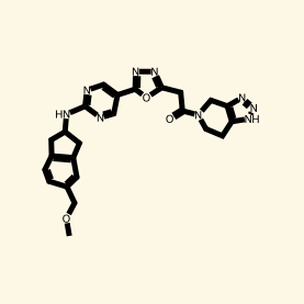 COCc1ccc2c(c1)CC(Nc1ncc(-c3nnc(CC(=O)N4CCc5[nH]nnc5C4)o3)cn1)C2